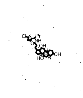 CC(C)C(NC(=O)C[C@@H](C)C1CC[C@H]2[C@@H]3[C@H](O)C[C@@H]4C[C@H](O)CC[C@]4(C)[C@H]3C[C@H](O)[C@]12C)c1ccc(Cl)s1